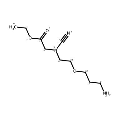 CCOC(=O)CN(C#N)CCOCCCN